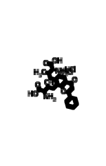 CC(Cc1c(CC(C)[C@H](N)C(=O)O)ccc2c(=O)cc(-c3ccccc3)oc12)C(N)C(=O)O.Cl.Cl